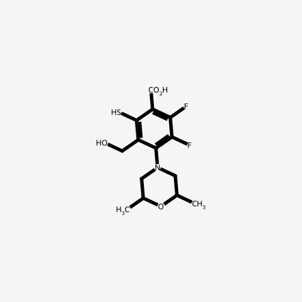 CC1CN(c2c(F)c(F)c(C(=O)O)c(S)c2CO)CC(C)O1